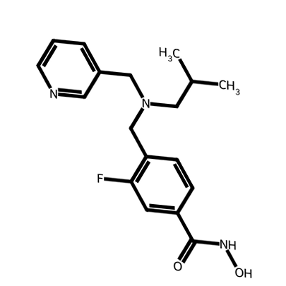 CC(C)CN(Cc1cccnc1)Cc1ccc(C(=O)NO)cc1F